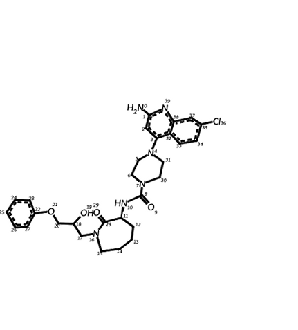 Nc1cc(N2CCN(C(=O)N[C@H]3CCCCN(CC(O)COc4ccccc4)C3=O)CC2)c2ccc(Cl)cc2n1